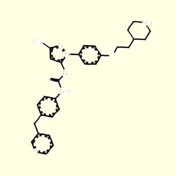 CC(C)(C)c1cc(NC(=O)Nc2ccc(Cc3cccnc3)cc2)n(-c2ccc(OCCC3CCNCC3)cc2)n1